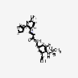 C#Cc1cc(CNC(=O)/C=C/c2ccc(C(F)(F)F)nc2-c2ccsc2)cc(F)c1NS(C)(=O)=O